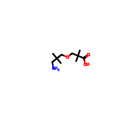 CC(C)(CN)COCC(C)(C)C(=O)O